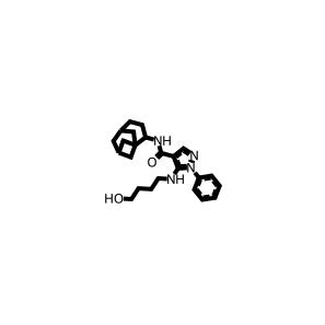 O=C(NC1CCC2CC3CC1(C2)C3)c1cnn(-c2ccccc2)c1NCCCCO